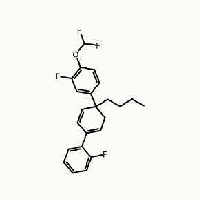 CCCCC1(c2ccc(OC(F)F)c(F)c2)C=CC(c2ccccc2F)=CC1